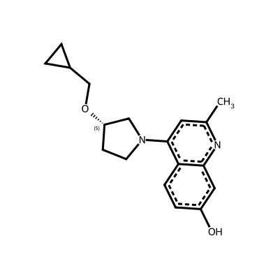 Cc1cc(N2CC[C@H](OCC3CC3)C2)c2ccc(O)cc2n1